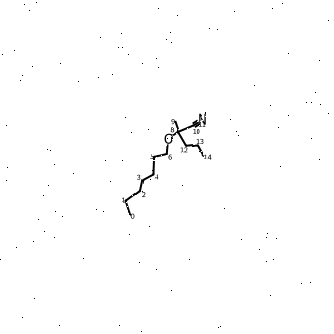 CCCCCCCOC(C)(C#N)CCC